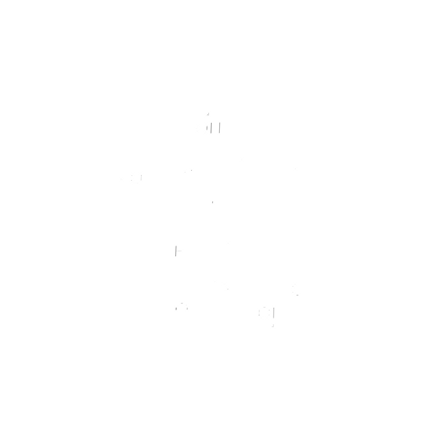 CC1(C(=O)O)C=CC=C(Cl)C1(F)C(=O)O